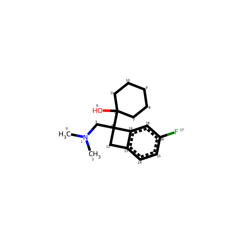 CN(C)CC1(C2(O)CCCCC2)Cc2ccc(F)cc21